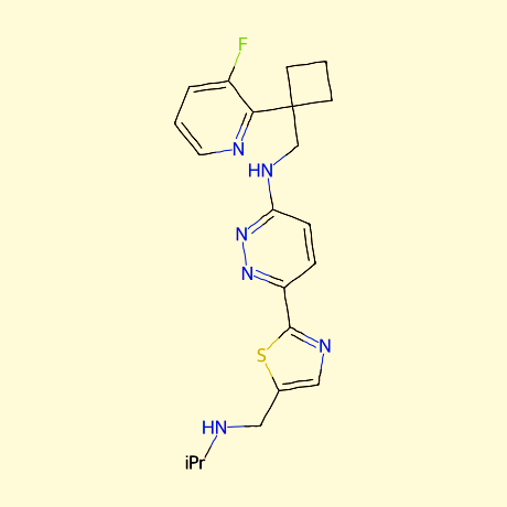 CC(C)NCc1cnc(-c2ccc(NCC3(c4ncccc4F)CCC3)nn2)s1